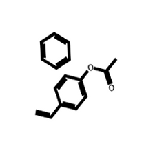 C=Cc1ccc(OC(C)=O)cc1.c1ccccc1